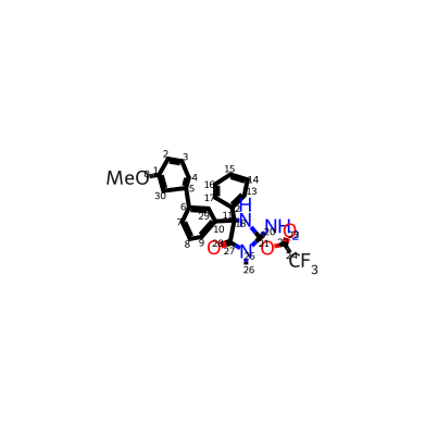 COc1cccc(-c2cccc(C3(c4ccccc4)NC(N)(OC(=O)C(F)(F)F)N(C)C3=O)c2)c1